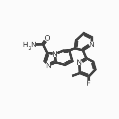 Cc1nc(-c2ncccc2-c2ccc3ncc(C(N)=O)n3c2)ccc1F